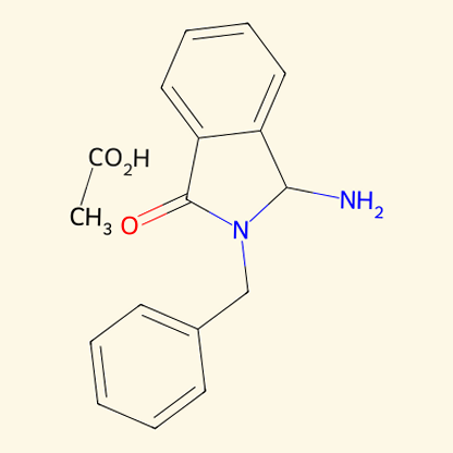 CC(=O)O.NC1c2ccccc2C(=O)N1Cc1ccccc1